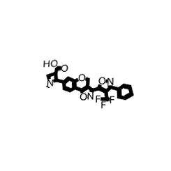 CN1CC(C(=O)O)C1c1ccc2c(c1)OCc1c(-c3onc(-c4ccccc4)c3C(F)(F)F)noc1-2